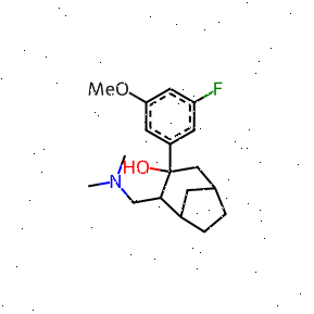 COc1cc(F)cc(C2(O)CC3CCC(C3)C2CN(C)C)c1